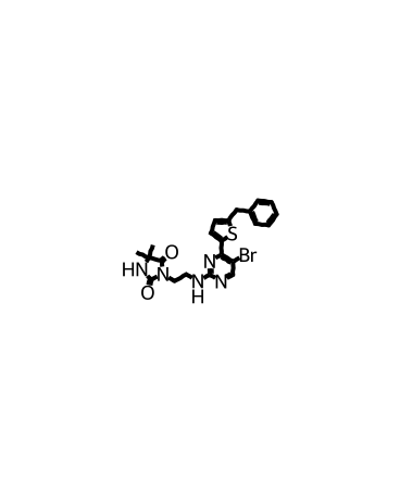 CC1(C)NC(=O)N(CCNc2ncc(Br)c(-c3ccc(Cc4ccccc4)s3)n2)C1=O